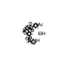 CC(=O)c1ccc(-n2c(=O)n3n(c2=O)C2C(=CC3)C(C)(C)Oc3cc(OC(=O)N(C)C4CCCNC4)ccc32)cc1.Cl